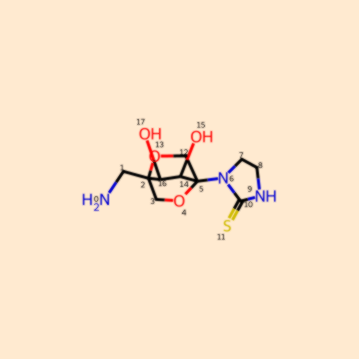 NCC12COC(N3CCNC3=S)(CO1)C(O)C2O